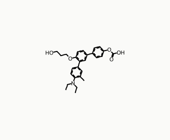 CCN(CC)c1ccc(-c2cc(-c3ccc(OC(=O)O)cc3)ccc2OCCCO)cc1C